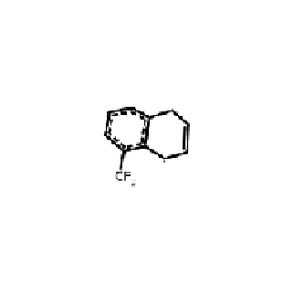 FC(F)(F)c1cccc2c1[CH]C=CC2